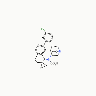 O=C(O)N(C1CN2CCC1CC2)[C@@H]1c2cc(-c3cccc(Cl)c3)ccc2CCC12CC2